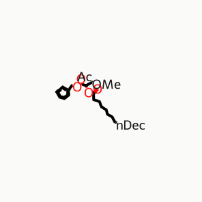 CCCCCCCCCCCCCCCCCC(=O)OC(C(=O)OCc1ccccc1)C(OC)C(C)=O